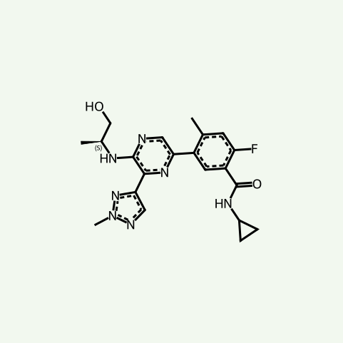 Cc1cc(F)c(C(=O)NC2CC2)cc1-c1cnc(N[C@@H](C)CO)c(-c2cnn(C)n2)n1